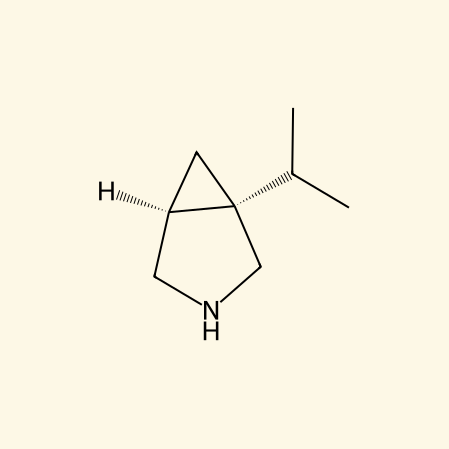 CC(C)[C@]12CNC[C@H]1C2